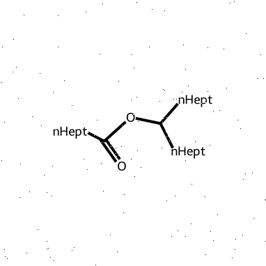 CCCCCCCC(=O)OC(CCCCCCC)CCCCCCC